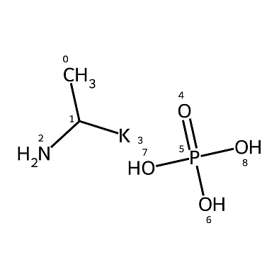 C[CH](N)[K].O=P(O)(O)O